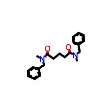 CN(Cc1ccccc1)C(=O)CCCC(=O)N(C)Cc1ccccc1